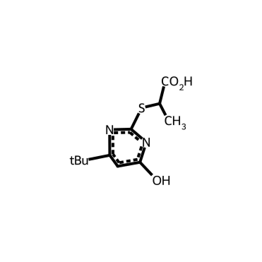 CC(Sc1nc(O)cc(C(C)(C)C)n1)C(=O)O